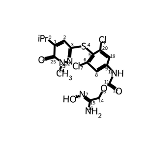 CC(C)c1cc(Sc2c(Cl)cc(NC(=O)OCC(N)=NO)cc2Cl)nn(C)c1=O